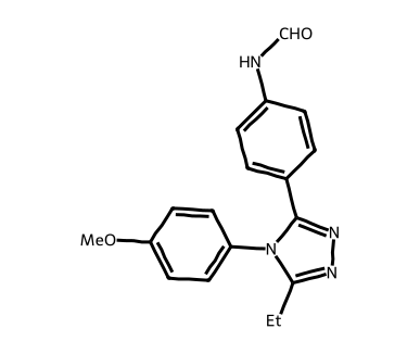 CCc1nnc(-c2ccc(NC=O)cc2)n1-c1ccc(OC)cc1